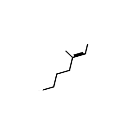 CCCCCCC/C(C)=C/C=O